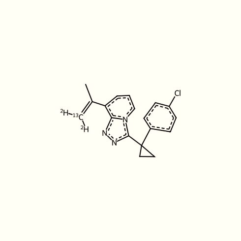 [2H][13C]([2H])=C(C)c1cccn2c(C3(c4ccc(Cl)cc4)CC3)nnc12